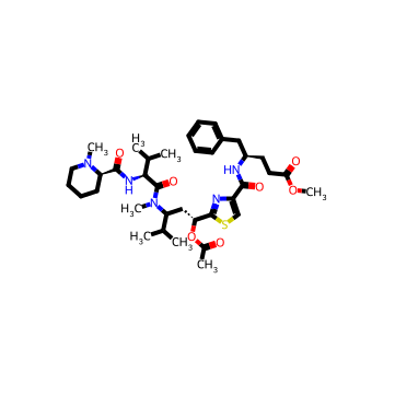 COC(=O)CC[C@H](Cc1ccccc1)NC(=O)c1csc([C@@H](CC(C(C)C)N(C)C(=O)[C@@H](NC(=O)[C@H]2CCCCN2C)C(C)C)OC(C)=O)n1